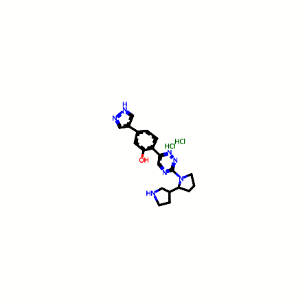 Cl.Cl.Oc1cc(-c2cn[nH]c2)ccc1-c1cnc(N2CCCC2C2CCNC2)nn1